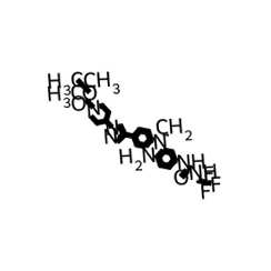 C=CN(c1cccc(NC(=O)NCC(F)(F)F)c1)c1ccc(-c2cnn(C3CCN(C(=O)OC(C)(C)C)CC3)c2)cc1N